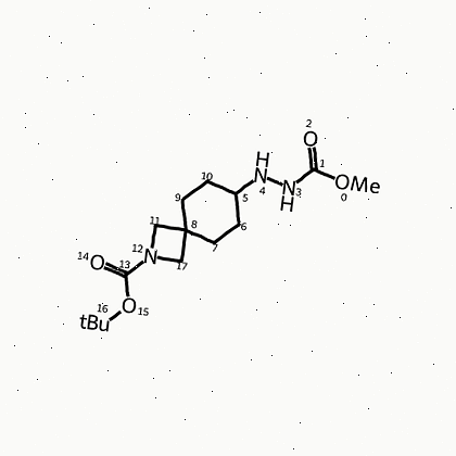 COC(=O)NNC1CCC2(CC1)CN(C(=O)OC(C)(C)C)C2